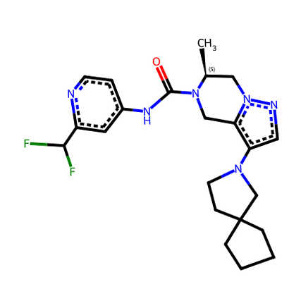 C[C@H]1Cn2ncc(N3CCC4(CCCC4)C3)c2CN1C(=O)Nc1ccnc(C(F)F)c1